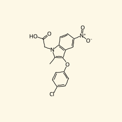 Cc1c(Oc2ccc(Cl)cc2)c2cc([N+](=O)[O-])ccc2n1CC(=O)O